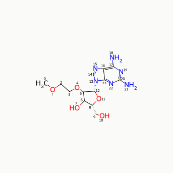 COCCOC1C(O)[C@@H](CO)O[C@H]1n1cnc2c(N)nc(N)nc21